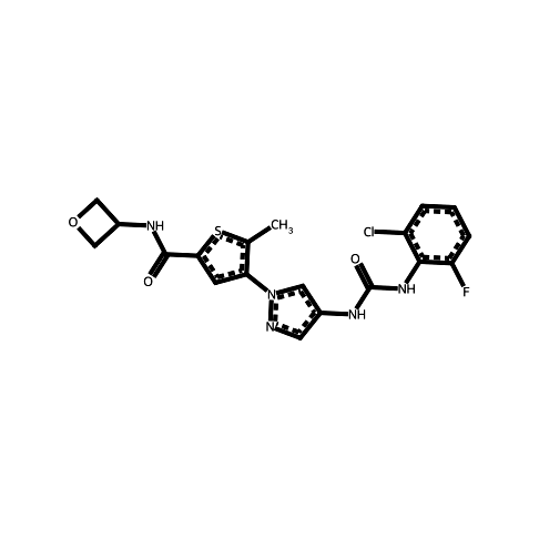 Cc1sc(C(=O)NC2COC2)cc1-n1cc(NC(=O)Nc2c(F)cccc2Cl)cn1